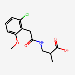 COc1cccc(Cl)c1CC(=O)NCC(C)C(=O)O